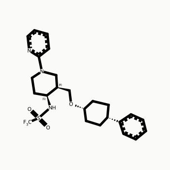 O=S(=O)(N[C@H]1CCN(c2ccccn2)C[C@H]1CO[C@H]1CC[C@@H](c2ccccc2)CC1)C(F)(F)F